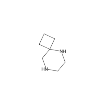 C1CC2(C1)CNCCN2